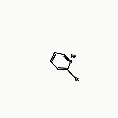 CCc1ccccn1.F